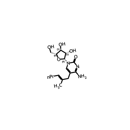 CCCC=C(C)Cc1cn([C@@H]2O[C@H](CO)[C@@H](O)[C@@H]2O)c(=O)nc1N